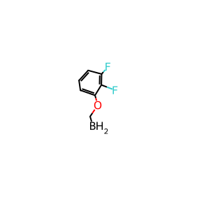 BCOc1cccc(F)c1F